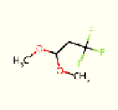 COC(CC(F)(F)F)OC